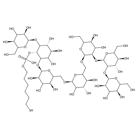 O=P(O)(OCCCCCCS)O[C@H]1C(O[C@H]2OC(CO[C@H]3OC(CO[C@H]4OC(CO)[C@@H](O)C(O)[C@H]4O[C@H]4OC(CO)[C@@H](O)[C@H](O)C4O[C@H]4OC(CO)[C@@H](O)C(O)[C@H]4O)[C@@H](O)[C@H](O)C3O)[C@@H](O)C(O)[C@H]2O)C(O)[C@H](O)[C@@H](O)C1O[C@H]1OC(CO)[C@@H](O)C(O)[C@H]1O